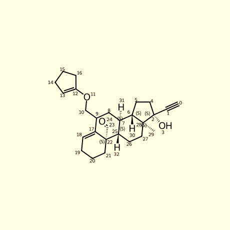 C#C[C@]1(O)CC[C@H]2[C@@H]3CC(COC4=CCCC4)C4=CCCC[C@]4(C=O)[C@H]3CC[C@@]21C